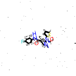 O=CN(c1cccs1)c1ncc(C(=O)Nc2ccc(F)cc2)[se]1